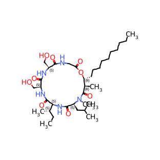 CCCCCCCCCC[C@H]1OC(=O)CNC(=O)[C@H](CO)NC(=O)[C@H](CO)NC(=O)[C@H]([C@@H](C)CC)NC(=O)[C@H](CC(C)C)N(C)C(=O)[C@@H]1C